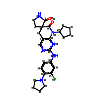 O=C1NCC[C@@]12Cc1cnc(Nc3ccc(N4CCCC4)c(F)c3)nc1N(C1CCCC1)C2=O